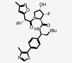 Cc1cc([C@H](C(=O)N2C[C@H](O)[C@H](F)[C@H]2C(=O)N[C@@H](CC(C)(C)C)c2ccc(-c3scnc3C)cc2)C(C)C)on1